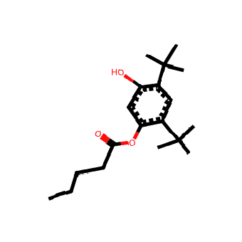 CCCCC(=O)Oc1cc(O)c(C(C)(C)C)cc1C(C)(C)C